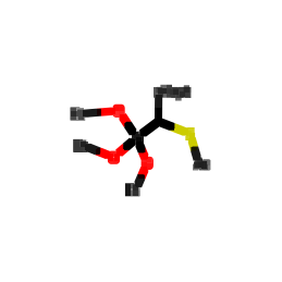 CCCCCCCC(SC(C)=O)[Si](OCC)(OCC)OCC